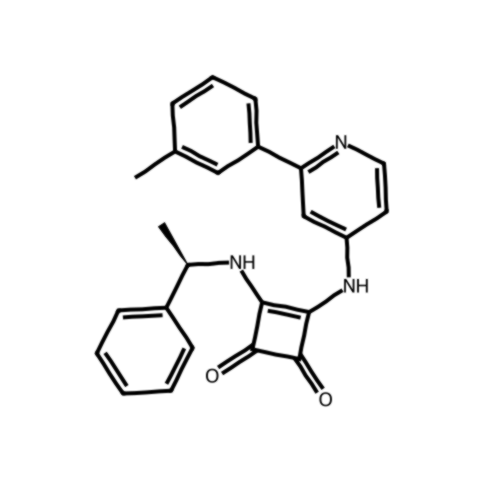 Cc1cccc(-c2cc(Nc3c(N[C@H](C)c4ccccc4)c(=O)c3=O)ccn2)c1